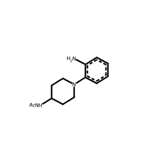 CC(=O)NC1CCN(c2ccccc2N)CC1